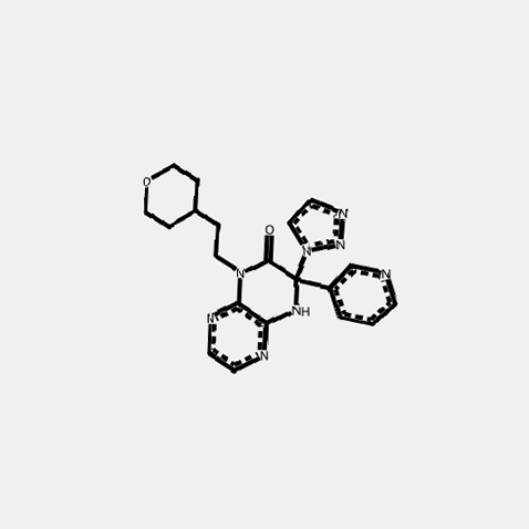 O=C1N(CCC2CCOCC2)c2nccnc2NC1(c1cccnc1)n1ccnn1